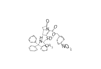 CC(NC(c1ccccc1)(c1ccccc1)c1ccccc1)[S+]([O-])C1=C(C(=O)OCc2ccc([N+](=O)[O-])cc2)N2C(=O)CC2C1